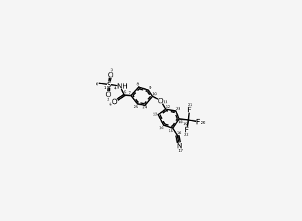 CS(=O)(=O)NC(=O)c1ccc(Oc2ccc(C#N)c(C(F)(F)F)c2)cc1